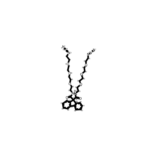 [N-]=[N+]=NCCOCCOCCOCCNC(=O)C1(C(=O)NCCOCCOCCOCCN=[N+]=[N-])c2ccccc2-c2ccccc21